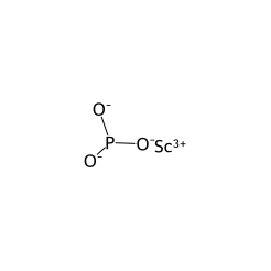 [O-]P([O-])[O-].[Sc+3]